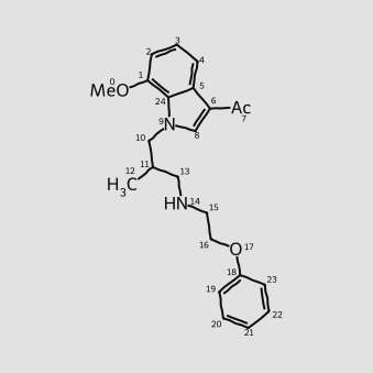 COc1cccc2c(C(C)=O)cn(CC(C)CNCCOc3ccccc3)c12